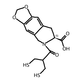 O=C(O)[C@@H]1Cc2cc3c(cc2CN1C(=O)C(CS)CS)OCO3